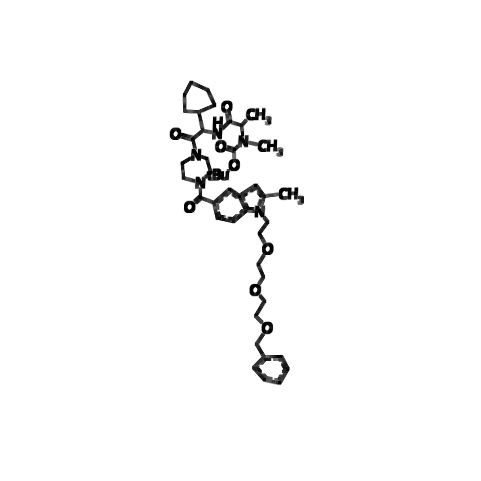 Cc1cc2cc(C(=O)N3CCN(C(=O)C(NC(=O)C(C)N(C)C(=O)OC(C)(C)C)C4CCCCC4)CC3)ccc2n1CCOCCOCCOCc1ccccc1